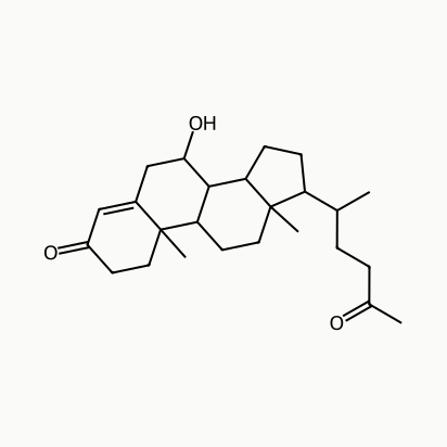 CC(=O)CCC(C)C1CCC2C3C(O)CC4=CC(=O)CCC4(C)C3CCC12C